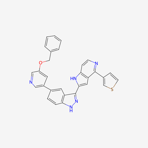 c1ccc(COc2cncc(-c3ccc4[nH]nc(-c5cc6c(-c7ccsc7)nccc6[nH]5)c4c3)c2)cc1